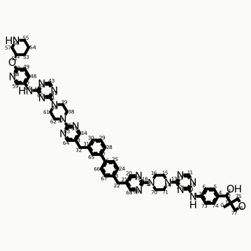 CC1(C(O)c2ccc(Nc3ncnc(N4CCN(c5ncc(Cc6ccc(-c7cccc(Cc8cnc(N9CCN(c%10ncnc(Nc%11ccc(O[C@H]%12CCCNC%12)nc%11)n%10)CC9)nc8)c7)cc6)cn5)CC4)n3)cc2)COC1